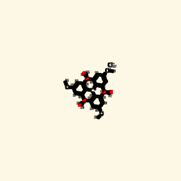 COc1cc(OC)c([C+](c2c(OC)cc(OC)cc2OC)c2c(OC)cc(OC)cc2OC)c(OC)c1.[Cl-]